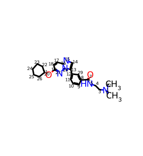 CN(C)CCNC(=O)c1cccc(-c2cnc3ccc(OC4CCCCC4)nn23)c1